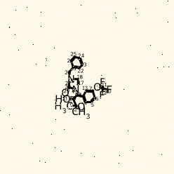 CC1(C)Oc2ccc(OC(F)(F)F)cc2[C@H](N2CCN(Cc3ccccc3)CC2=O)[C@H]1O